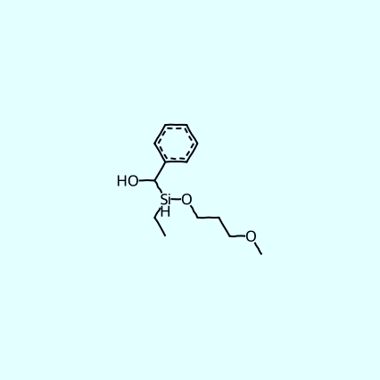 CC[SiH](OCCCOC)C(O)c1ccccc1